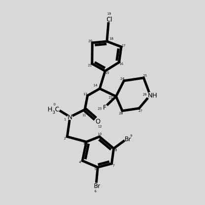 CN(Cc1cc(Br)cc(Br)c1)C(=O)CC(c1ccc(Cl)cc1)C1(F)CCNCC1